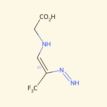 N=N/C(=C\NCC(=O)O)C(F)(F)F